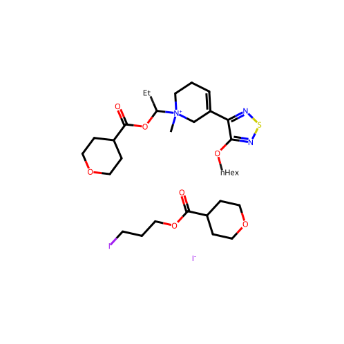 CCCCCCOc1nsnc1C1=CCC[N+](C)(C(CC)OC(=O)C2CCOCC2)C1.O=C(OCCCI)C1CCOCC1.[I-]